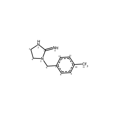 N=C1NCCN1Cc1ccc(C(F)(F)F)cc1